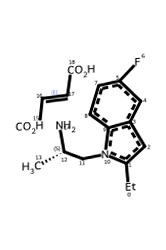 CCc1cc2cc(F)ccc2n1C[C@H](C)N.O=C(O)/C=C/C(=O)O